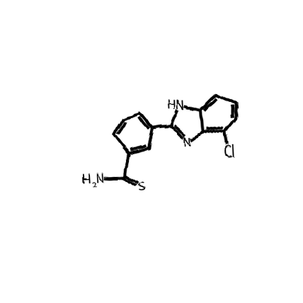 NC(=S)c1cccc(-c2nc3c(Cl)cccc3[nH]2)c1